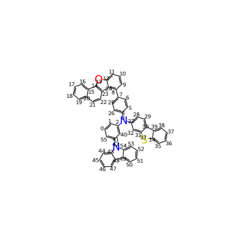 c1cc(N(c2ccc(-c3cccc4oc5c6ccccc6ccc5c34)cc2)c2ccc3c(c2)sc2ccccc23)cc(-n2c3ccccc3c3ccccc32)c1